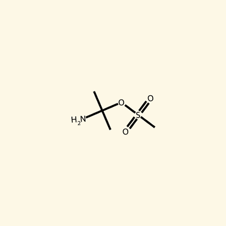 CC(C)(N)OS(C)(=O)=O